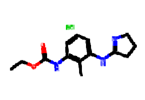 CCOC(=O)Nc1cccc(NC2=NCCC2)c1C.Cl